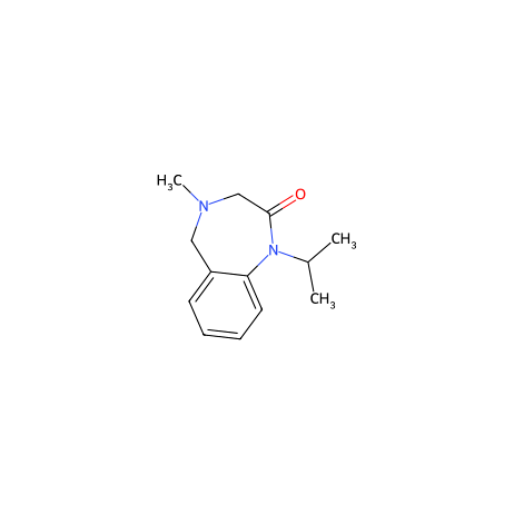 CC(C)N1C(=O)CN(C)Cc2ccccc21